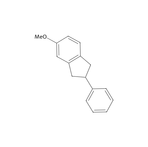 COc1ccc2c(c1)CC(c1ccccc1)C2